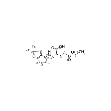 CCOC(=O)CCC(=NNc1cccc(OC(F)(F)F)c1)C(=O)O